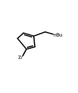 CCCCCC1=CC[C]([Zr])=C1